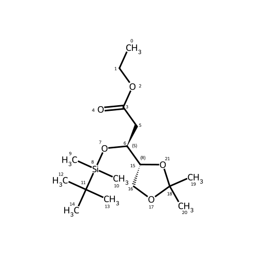 CCOC(=O)C[C@H](O[Si](C)(C)C(C)(C)C)[C@H]1COC(C)(C)O1